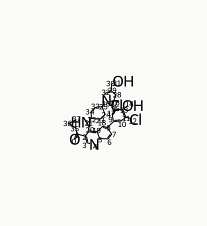 O=C(c1cnc2ccc(-c3cc(Cl)c(O)c(Cl)c3)cc2c1NC1CCC(N2CCC(CO)C2)CC1)C1CC1